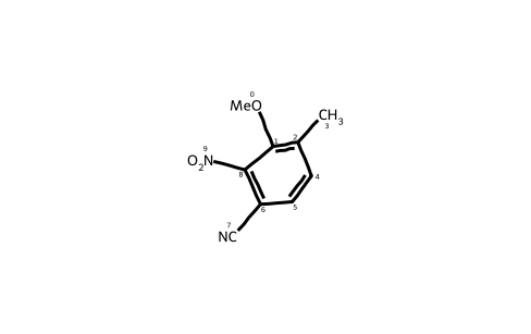 COc1c(C)ccc(C#N)c1[N+](=O)[O-]